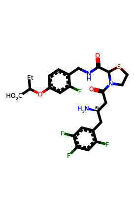 CCC(Oc1ccc(CNC(=O)C2SCCN2C(=O)C[C@H](N)Cc2cc(F)c(F)cc2F)c(F)c1)C(=O)O